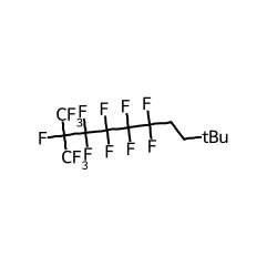 CC(C)(C)CCC(F)(F)C(F)(F)C(F)(F)C(F)(F)C(F)(C(F)(F)F)C(F)(F)F